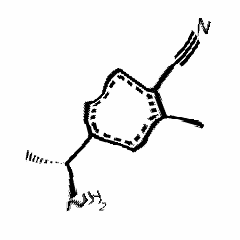 Cc1cc([C@@H](C)N)ccc1C#N